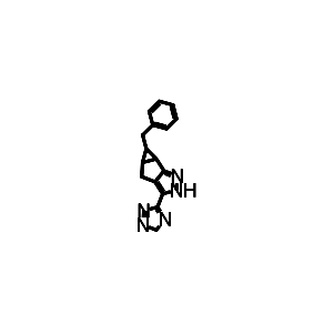 c1ccc(CC2C3Cc4c(n[nH]c4C4=NCN=N4)C23)cc1